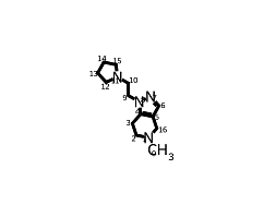 CN1CCc2c(cnn2CCN2CCCC2)C1